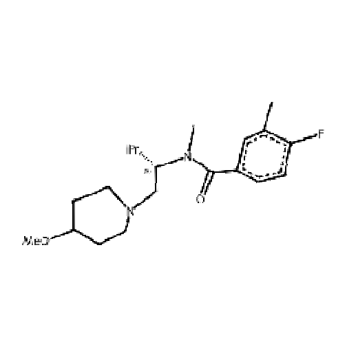 COC1CCN(C[C@H](C(C)C)N(C)C(=O)c2ccc(F)c(C)c2)CC1